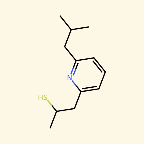 CC(C)Cc1cccc(CC(C)S)n1